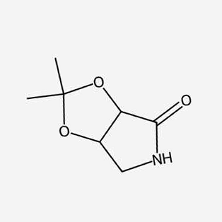 CC1(C)OC2CNC(=O)C2O1